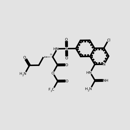 N=C(N)Nc1ncc(Cl)c2ccc(S(=O)(=O)N[C@@H](CCC(N)=O)C(=O)OC(=O)C(F)(F)F)cc12